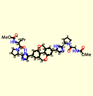 COC(=O)NCC(=O)N1CCC[C@@H]1c1ncc(-c2cc3c4c(c2)OCc2cc(-c5cnc([C@H]6CCCN6C(=O)C(NC(=O)OC)C(C)C)[nH]5)cc(c2-4)OC3)[nH]1